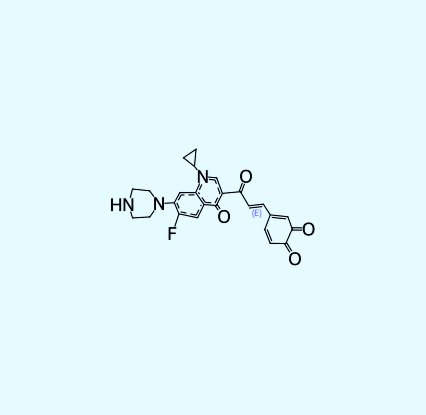 O=C1C=CC(/C=C/C(=O)c2cn(C3CC3)c3cc(N4CCNCC4)c(F)cc3c2=O)=CC1=O